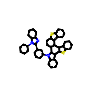 c1ccc(-n2c(-c3cccc(-n4c5ccccc5c5c6sc7ccccc7c6c6c(ccc7sc8ccccc8c76)c54)c3)nc3ccccc32)cc1